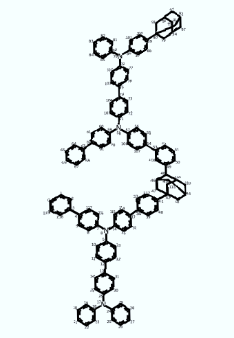 c1ccc(-c2ccc(N(c3ccc(-c4ccc(N(c5ccccc5)c5ccccc5)cc4)cc3)c3ccc(-c4ccc(C56CC7CC(C5)C(c5cccc(-c8ccc(N(c9ccc(-c%10ccccc%10)cc9)c9ccc(-c%10ccc(N(c%11ccccc%11)c%11ccc(C%12%13CC%14CC(CC(C%14)C%12)C%13)cc%11)cc%10)cc9)cc8)c5)C(C7)C6)cc4)cc3)cc2)cc1